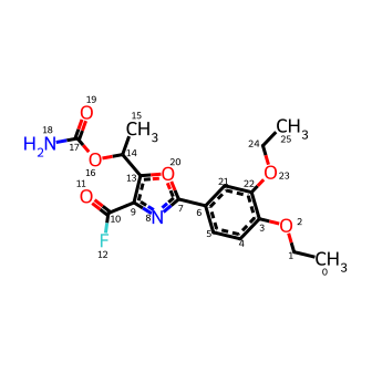 CCOc1ccc(-c2nc(C(=O)F)c(C(C)OC(N)=O)o2)cc1OCC